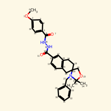 COc1ccc(C(=O)NNC(=O)c2ccc3c(c2)CCC2(COC(C)(C)N2Cc2ccccc2)C3)cc1